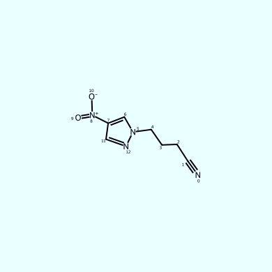 N#CCCCn1cc([N+](=O)[O-])cn1